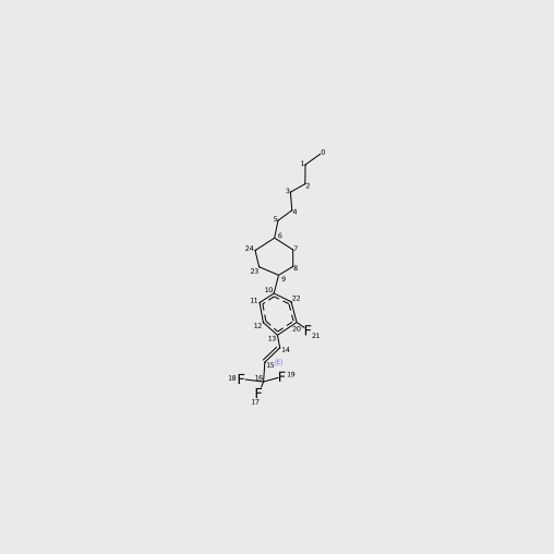 CCCCCCC1CCC(c2ccc(/C=C/C(F)(F)F)c(F)c2)CC1